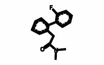 CN(C)C(=O)Cc1ccccc1-c1ccccc1F